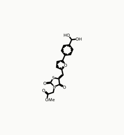 COC(=O)CN1C(=O)S/C(=C\c2ccc(-c3ccc(C(O)O)cc3)o2)C1=O